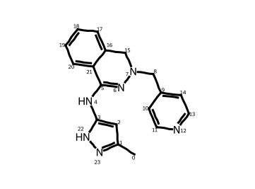 Cc1cc(NC2=NN(Cc3ccncc3)Cc3ccccc32)[nH]n1